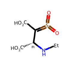 CCN[C@H](C(=O)O)C(C(=O)O)=S(=O)=O